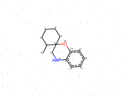 CC1CCCCC12CNc1ccccc1O2